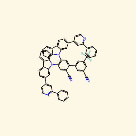 N#Cc1cc(-c2cc(-n3c4ccccc4c4ccc(-c5ccnc(-c6ccccc6)c5)cc43)c(-n3c4ccccc4c4ccc(-c5ccnc(-c6ccccc6)c5)cc43)cc2C#N)cc(C(F)(F)F)c1